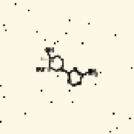 C[C@]1(O)CCN(c2nccc(N)n2)C[C@@H]1O